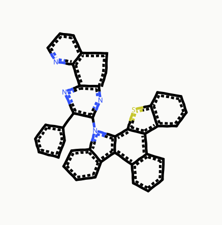 c1ccc(-c2nc3c(ccc4cccnc43)nc2-n2c3ccccc3c3c4ccccc4c4c5ccccc5sc4c32)cc1